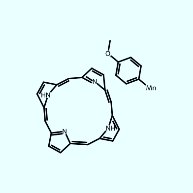 C1=Cc2cc3ccc(cc4nc(cc5ccc(cc1n2)[nH]5)C=C4)[nH]3.COc1cc[c]([Mn])cc1